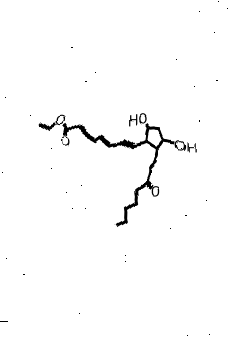 CCCCCC(=O)CCC1C(O)CC(O)C1C=CC=CC=CC(=O)OCC